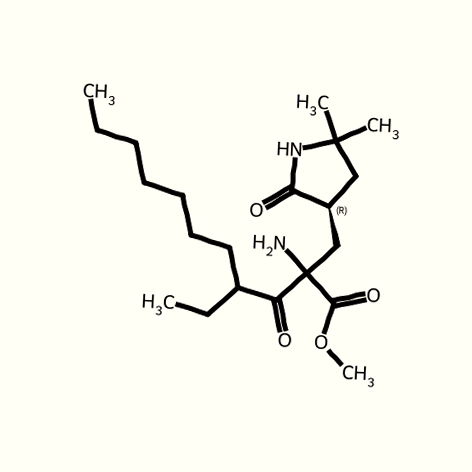 CCCCCCCC(CC)C(=O)C(N)(C[C@@H]1CC(C)(C)NC1=O)C(=O)OC